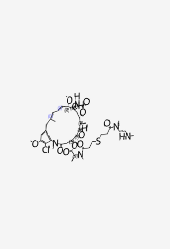 CNCCN(C)C(=O)CCSCCC(=O)N(C)[C@@H](C)C(=O)O[C@H]1CC(=O)N(C)c2cc(cc(OC)c2Cl)C/C(C)=C/C=C/[C@@H](OC)[C@@]2(O)CC(OC(=O)N2)[C@@H](C)[C@@H]2O[C@@]12C